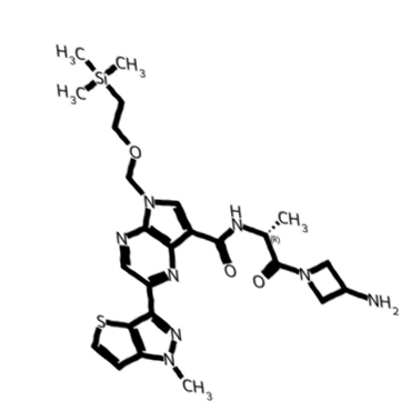 C[C@@H](NC(=O)c1cn(COCC[Si](C)(C)C)c2ncc(-c3nn(C)c4ccsc34)nc12)C(=O)N1CC(N)C1